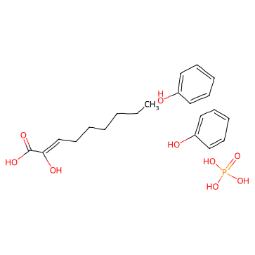 CCCCCCC=C(O)C(=O)O.O=P(O)(O)O.Oc1ccccc1.Oc1ccccc1